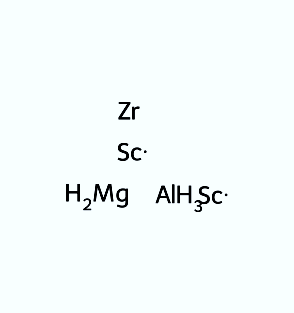 [AlH3].[MgH2].[Sc].[Sc].[Zr]